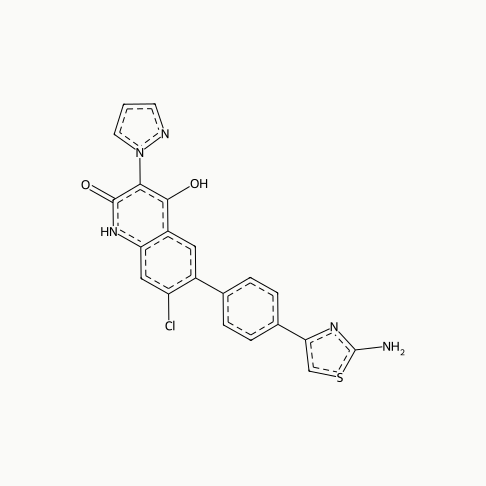 Nc1nc(-c2ccc(-c3cc4c(O)c(-n5cccn5)c(=O)[nH]c4cc3Cl)cc2)cs1